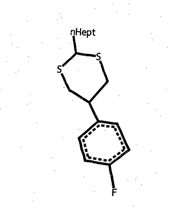 CCCCCCCC1SCC(c2ccc(F)cc2)CS1